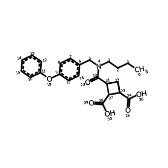 CCCCN(Cc1ccc(Oc2ccccc2)cc1)C(=O)C1CC(C(=O)O)C1C(=O)O